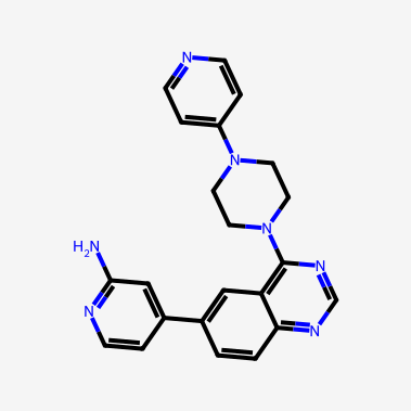 Nc1cc(-c2ccc3ncnc(N4CCN(c5ccncc5)CC4)c3c2)ccn1